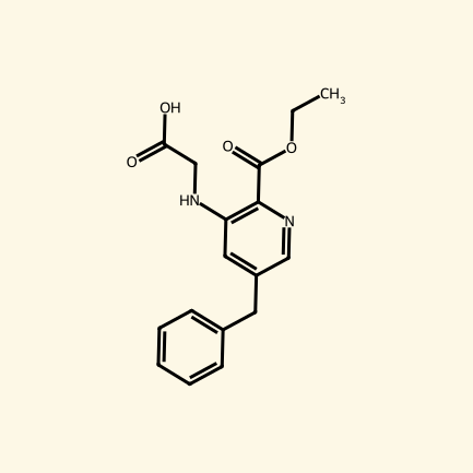 CCOC(=O)c1ncc(Cc2ccccc2)cc1NCC(=O)O